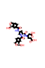 O=C(O)CCC(CC(=O)O)NC(=O)[C@@H]1C[C@@H](NC(=O)c2ccc3c(c2)B(O)OC3)CN1C(=O)c1ccc2c(c1)B(O)OC2